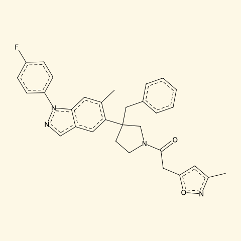 Cc1cc(CC(=O)N2CCC(Cc3ccccc3)(c3cc4cnn(-c5ccc(F)cc5)c4cc3C)C2)on1